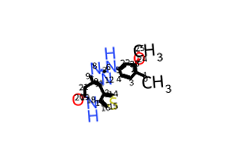 CCc1ccc(Nc2ncc3c(n2)-c2cscc2NC(=O)C3)cc1OC